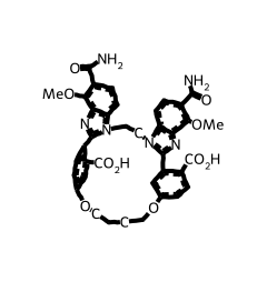 COc1c(C(N)=O)ccc2c1nc1n2CCn2c(nc3c(OC)c(C(N)=O)ccc32)-c2cc(ccc2C(=O)O)OCCCCOc2ccc-1c(C(=O)O)c2